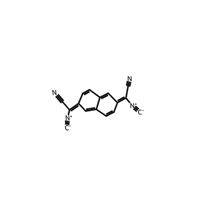 [C-]#[N+]/C(C#N)=c1/ccc2c/c(=C(\C#N)[N+]#[C-])ccc2c1